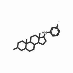 CC1CCC2(C)C(CCC3C2CCC2(C)C(Nc4cccc(F)c4)CCC32)C1